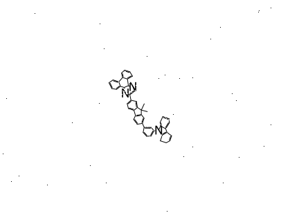 CC1(C)c2cc(-c3cccc(-n4c5c(c6ccccc64)C=CCC5)c3)ccc2-c2ccc(-c3cnc4c5ccccc5c5ccccc5c4n3)cc21